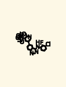 Cc1ncc(-c2ccc3ncnc(Nc4cccc(Cl)c4F)c3c2)cc1N(S(C)(=O)=O)S(C)(=O)=O